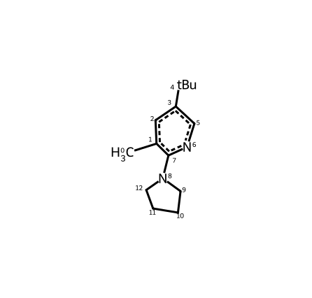 Cc1cc(C(C)(C)C)cnc1N1CCCC1